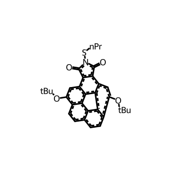 CCCSn1c(=O)c2c3cc(OC(C)(C)C)c4ccc5ccc6c(OC(C)(C)C)cc(c2c1=O)c1c6c5c4c31